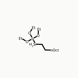 CCCCCCCCCC[SiH2][Si](OCC)(OCC)OCC